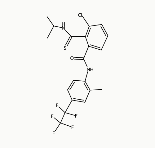 Cc1cc(C(F)(F)C(F)(F)F)ccc1NC(=O)c1cccc(Cl)c1C(=S)NC(C)C